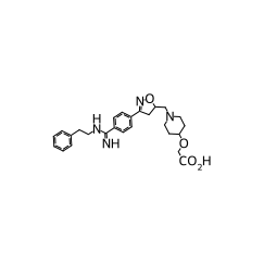 N=C(NCCc1ccccc1)c1ccc(C2=NOC(CN3CCC(OCC(=O)O)CC3)C2)cc1